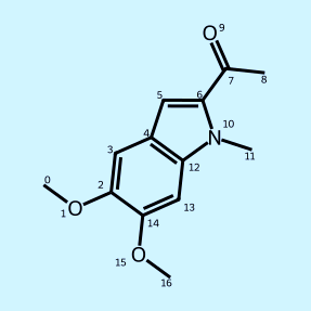 COc1cc2cc(C(C)=O)n(C)c2cc1OC